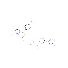 Cc1cn(C2CC2)c2cc(C(=O)N3CCC4(CC3)CC(=O)c3cc(-c5cnn(C)c5)ccc3O4)cc(-c3ccc(C(=O)O)cc3)c12